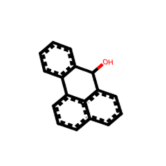 OC1c2ccccc2-c2cccc3cccc1c23